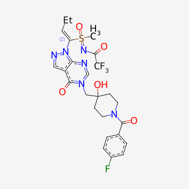 CC/C=C(/n1ncc2c(=O)n(CC3(O)CCN(C(=O)c4ccc(F)cc4)CC3)cnc21)S(C)(=O)=NC(=O)C(F)(F)F